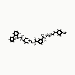 CN(CCN1CCC(OC(=O)Nc2ccccc2-c2ccccc2)CC1)C(=O)c1cccc(C(=O)NCCNCCc2ccc(O)cc2)c1